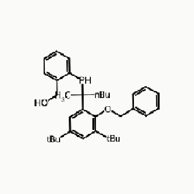 CCCCC(C)(Pc1ccccc1CO)c1cc(C(C)(C)C)cc(C(C)(C)C)c1OCc1ccccc1